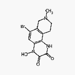 CN1CCc2c(c(Br)cc3c2[nH]c(=O)c(=O)n3O)C1